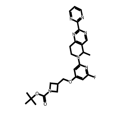 CC1c2cnc(-c3ncccn3)nc2CCN1c1cc(OCC2CN(C(=O)OC(C)(C)C)C2)cc(F)n1